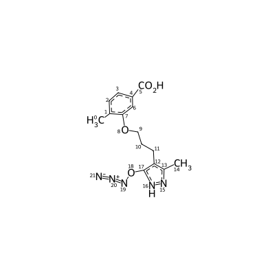 Cc1ccc(C(=O)O)cc1OCCCc1c(C)n[nH]c1ON=[N+]=[N-]